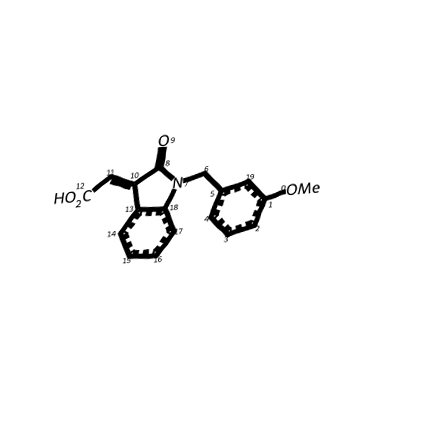 COc1cccc(CN2C(=O)/C(=C/C(=O)O)c3ccccc32)c1